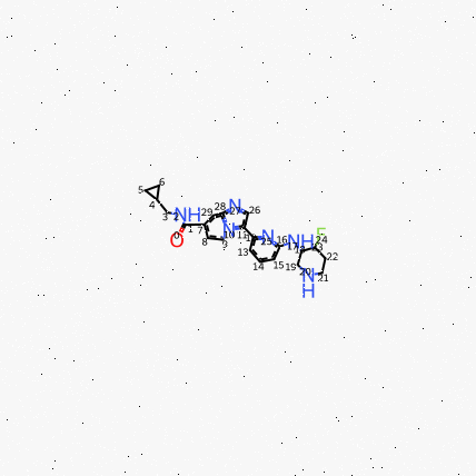 O=C(NCC1CC1)c1ccn2c(-c3cccc(N[C@H]4CNCC[C@@H]4F)n3)cnc2c1